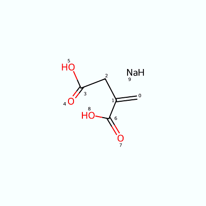 C=C(CC(=O)O)C(=O)O.[NaH]